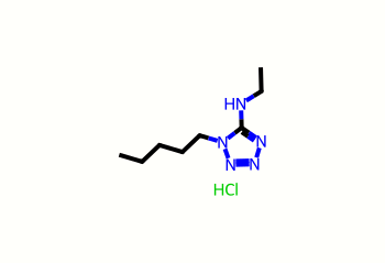 CCCCCn1nnnc1NCC.Cl